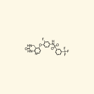 O=C1NCc2c(Oc3ccc(NS(=O)(=O)c4cccc(C(F)(F)F)c4)cc3F)ccnc2N1